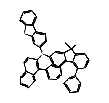 CC1(C)c2cc(N(c3ccc4c(c3)sc3ccccc34)c3ccc4ccccc4c3-c3ccccc3)ccc2-c2c(-c3ccccc3)cccc21